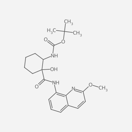 COc1ccc2cccc(NC(=O)C3(O)CCCCC3NC(=O)OC(C)(C)C)c2n1